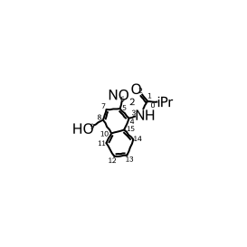 CC(C)C(=O)Nc1c([N+](=O)[O-])cc(O)c2ccccc12